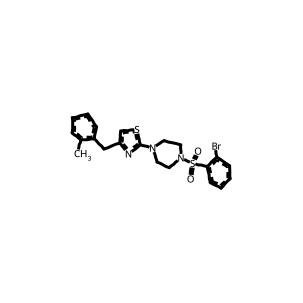 Cc1ccccc1Cc1csc(N2CCN(S(=O)(=O)c3ccccc3Br)CC2)n1